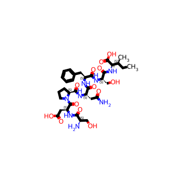 CC[C@H](C)[C@H](NC(=O)[C@H](CO)NC(=O)[C@H](Cc1ccccc1)NC(=O)[C@H](CC(N)=O)NC(=O)[C@@H]1CCCN1C(=O)[C@H](CC(=O)O)NC(=O)[C@@H](N)CO)C(=O)O